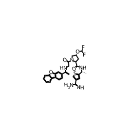 C=C(NCC(=O)N1C[C@H](OC(F)F)CC1C(=O)N[C@H](C)c1cc(C(=N)N)cs1)c1ccc2c(c1)oc1ccccc12